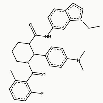 CCn1ccc2ccc(NC(=O)C3CCCN(C(=O)c4c(C)cccc4F)C3c3ccc(N(C)C)cc3)cc21